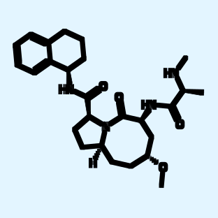 CN[C@@H](C)C(=O)N[C@H]1C[C@H](OC)CC[C@H]2CC[C@@H](C(=O)N[C@@H]3CCCc4ccccc43)N2C1=O